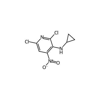 O=[N+]([O-])c1cc(Cl)nc(Cl)c1NC1CC1